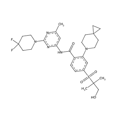 Cc1cc(NC(=O)c2ccc(S(=O)(=O)C(C)(C)CO)cc2N2CCC3(CC2)CC3)nc(N2CCC(F)(F)CC2)n1